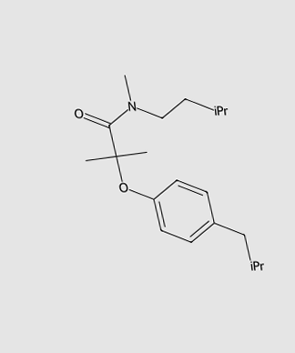 CC(C)CCN(C)C(=O)C(C)(C)Oc1ccc(CC(C)C)cc1